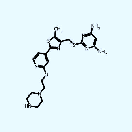 Cc1sc(-c2ccnc(OCCN3CCNCC3)c2)nc1CSc1nc(N)cc(N)n1